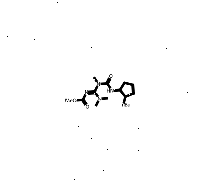 CCCCC1CCCC1NC(=O)N(C)C(=NC(=O)OC)N(C)C